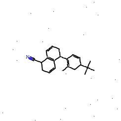 CC1=C(C2CC=CC3=C2C=CCC3C#N)C=CC(C(C)(C)C)C1